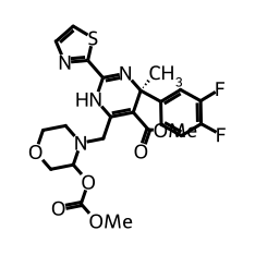 COC(=O)OC1COCCN1CC1=C(C(=O)OC)[C@](C)(c2ccc(F)c(F)c2)N=C(c2nccs2)N1